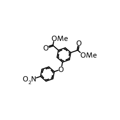 COC(=O)c1cc(Oc2ccc([N+](=O)[O-])cc2)cc(C(=O)OC)c1